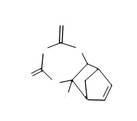 CC12OC(=O)OC(=O)OC1C1C=CC2C1